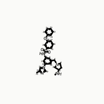 CNC1CCN(Cc2cc(NS(=O)(=O)c3cccc(Oc4ccccc4)c3)cc(-n3cnc(C)c3)c2)C1